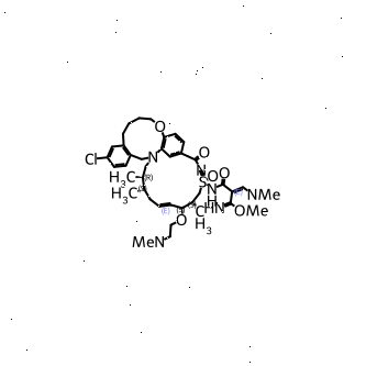 CN/C=C(\C(=N)OC)C(=O)NS1(=O)=NC(=O)c2ccc3c(c2)N(Cc2ccc(Cl)cc2CCCCO3)C[C@H](C)[C@@H](C)C/C=C/[C@H](OCCNC)[C@H](C)C1